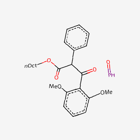 CCCCCCCCOC(=O)C(C(=O)c1c(OC)cccc1OC)c1ccccc1.O=P